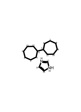 C1CCCC(C2CCCCCC2)CC1.c1c[nH]cn1